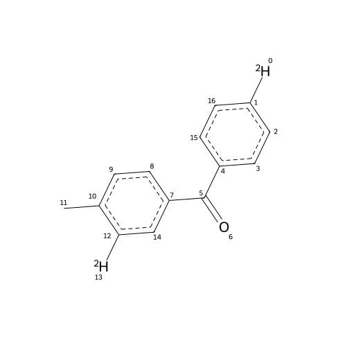 [2H]c1ccc(C(=O)c2ccc(C)c([2H])c2)cc1